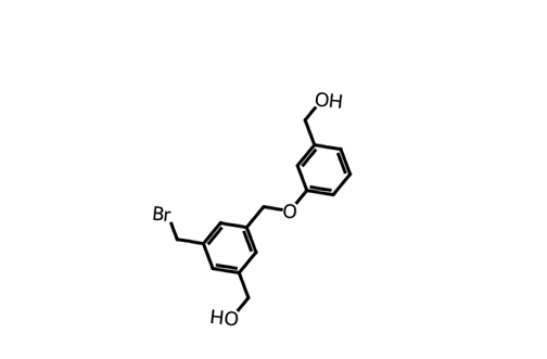 OCc1cc(CBr)cc(COc2cccc(CO)c2)c1